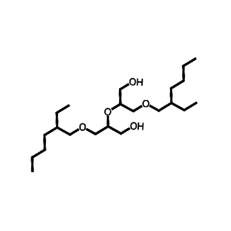 CCCCC(CC)COCC(CO)OC(CO)COCC(CC)CCCC